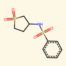 O=S1(=O)CCC(NS(=O)(=O)c2ccccc2)C1